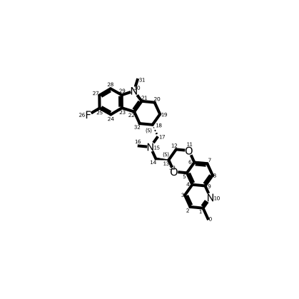 Cc1ccc2c3c(ccc2n1)OC[C@H](CN(C)C[C@H]1CCc2c(c4cc(F)ccc4n2C)C1)O3